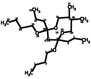 CCCCOC(CCC)([N]C(CCC)(OCCC)OCCCC)OCCC